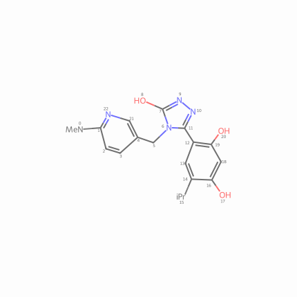 CNc1ccc(Cn2c(O)nnc2-c2cc(C(C)C)c(O)cc2O)cn1